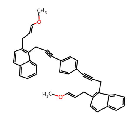 COC=CCc1ccc2ccccc2c1CC#Cc1ccc(C#CCc2c(CC=COC)ccc3ccccc23)cc1